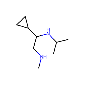 CNCC(NC(C)C)C1CC1